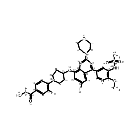 COc1ncc(-c2nc(N3CCOCC3)nc3c(OC4CCN(c5ccc(C(=O)NO)cc5F)CC4)cc(F)cc23)cc1NS(C)(=O)=O